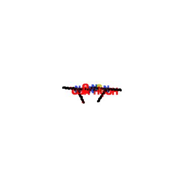 CCCCCCCCC(O)CN(CCCCC(=O)OCCN1CCN(CCSSCCCN(CC(O)CCCCCCCC)CC(O)CCCCCCCC)CC1)CC(O)CCCCCCCC